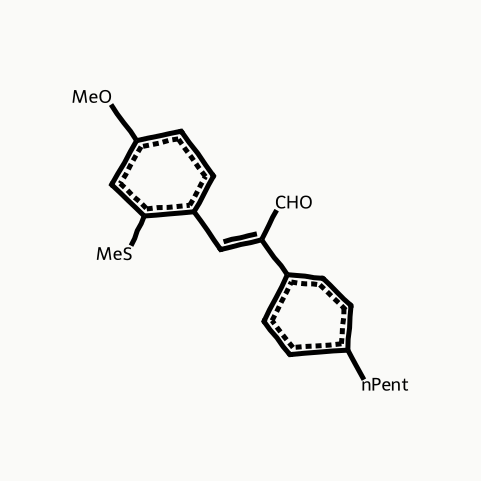 CCCCCc1ccc(/C(C=O)=C/c2ccc(OC)cc2SC)cc1